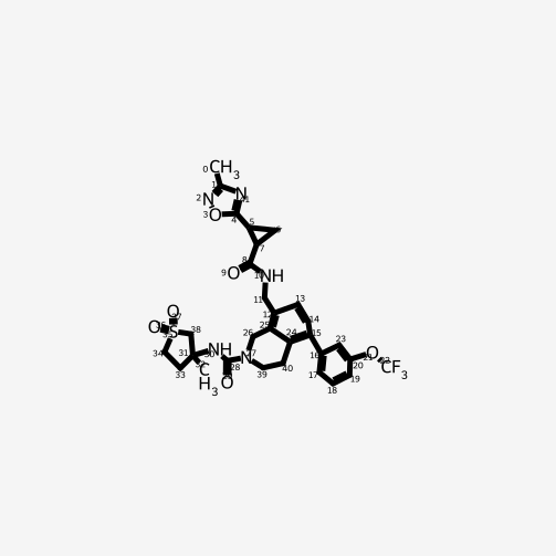 Cc1noc(C2CC2C(=O)NCc2ccc(-c3cccc(OC(F)(F)F)c3)c3c2CN(C(=O)NC2(C)CCS(=O)(=O)C2)CC3)n1